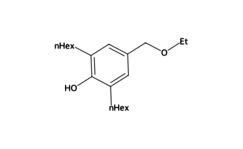 CCCCCCc1cc(COCC)cc(CCCCCC)c1O